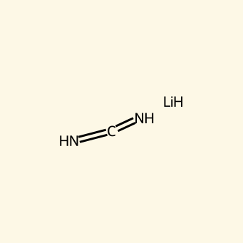 N=C=N.[LiH]